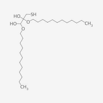 CCCCCCCCCCCCOC(O)C(O)(CS)OCCCCCCCCCCCC